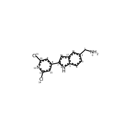 NCc1ccc2[nH]c(-c3cc(Cl)nc(Cl)c3)cc2c1